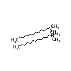 CCCCCCCCCCCCN(C)C.CCCCCCCCCCCCN(C)C